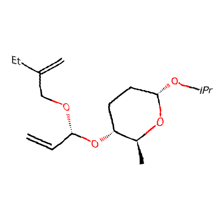 C=C[C@H](OCC(=C)CC)O[C@@H]1CC[C@H](OC(C)C)O[C@H]1C